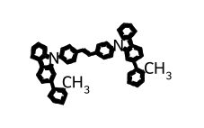 Cc1ccccc1-c1ccc2c3ccccc3n(-c3ccc(/C=C/c4ccc(-n5c6ccccc6c6ccc(-c7ccccc7C)cc65)cc4)cc3)c2c1